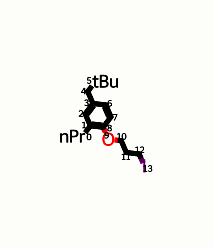 CCCc1cc(CC(C)(C)C)ccc1OCCCI